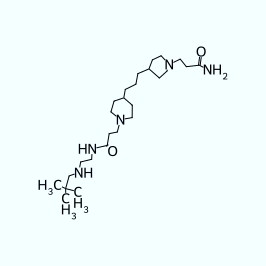 CC(C)(C)CNCCNC(=O)CCN1CCC(CCCC2CCN(CCC(N)=O)CC2)CC1